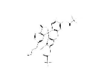 CC(C)(C)C(=O)Oc1cc2c(cc1Cl)C1(OC(=O)c3ccc(CCCBr)cc31)c1cc(Cl)c(OC(=O)C(C)(C)C)cc1O2